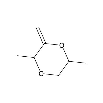 C=C1OC(C)COC1C